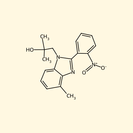 Cc1cccc2c1nc(-c1ccccc1[N+](=O)[O-])n2CC(C)(C)O